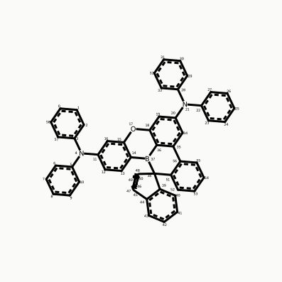 c1ccc(N(c2ccccc2)c2ccc3c(c2)Oc2cc(N(c4ccccc4)c4ccccc4)cc4c2B3C2(c3ccccc3-c3ccccc32)c2ccccc2-4)cc1